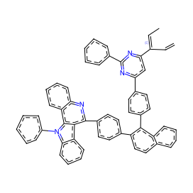 C=C/C(=C\C)c1cc(-c2ccc(-c3c(-c4ccc(-c5nc6ccccc6c6c5c5ccccc5n6-c5ccccc5)cc4)ccc4ccccc34)cc2)nc(-c2ccccc2)n1